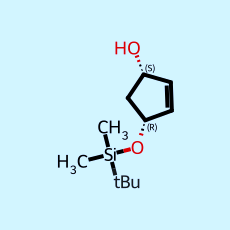 CC(C)(C)[Si](C)(C)O[C@H]1C=C[C@@H](O)C1